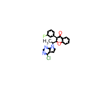 CC(c1oc2ccccc2c(=O)c1-c1cccc(F)c1)n1ccc2c(Cl)ncnc21